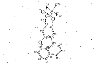 O=S(=O)(Oc1ccc2c(c1)Oc1cccc3cccc-2c13)C(F)(F)F